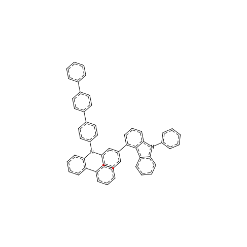 c1ccc(-c2ccc(-c3ccc(N(c4cccc(-c5cccc6c5c5ccccc5n6-c5ccccc5)c4)c4ccccc4-c4ccccc4)cc3)cc2)cc1